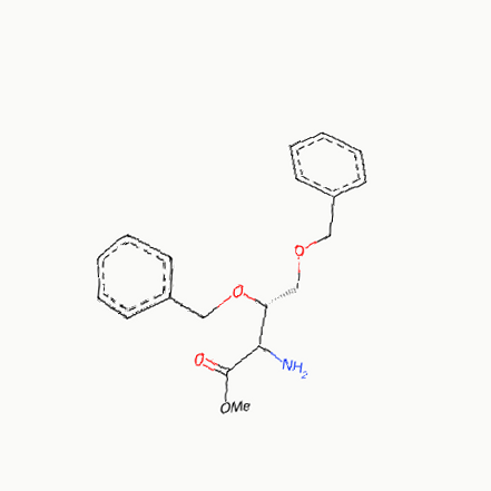 COC(=O)C(N)[C@@H](COCc1ccccc1)OCc1ccccc1